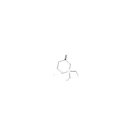 CC[N+]1(CC)CCCC(=O)C1.[Br-]